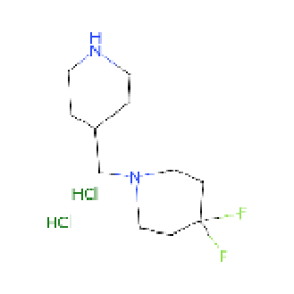 Cl.Cl.FC1(F)CCN(CC2CCNCC2)CC1